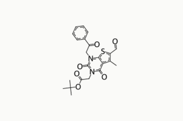 Cc1c(C=O)sc2c1c(=O)n(CC(=O)OC(C)(C)C)c(=O)n2CC(=O)c1ccccc1